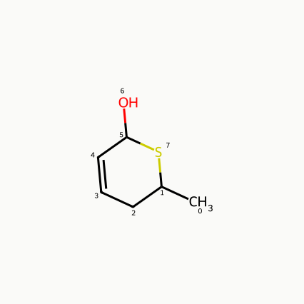 CC1CC=CC(O)S1